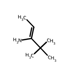 C/C=C(\N)C(C)(C)C